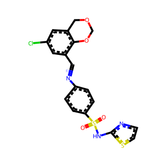 O=S(=O)(Nc1nccs1)c1ccc(/N=C/c2cc(Cl)cc3c2OCOC3)cc1